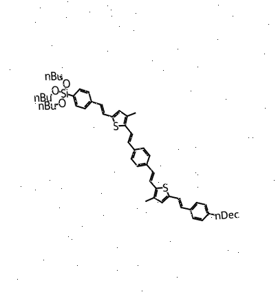 CCCCCCCCCCc1ccc(/C=C/c2cc(C)c(/C=C/c3ccc(/C=C/c4sc(/C=C/c5ccc([Si](OCCCC)(OCCCC)OCCCC)cc5)cc4C)cc3)s2)cc1